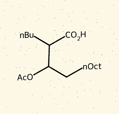 CCCCCCCCCC(OC(C)=O)C(CCCC)C(=O)O